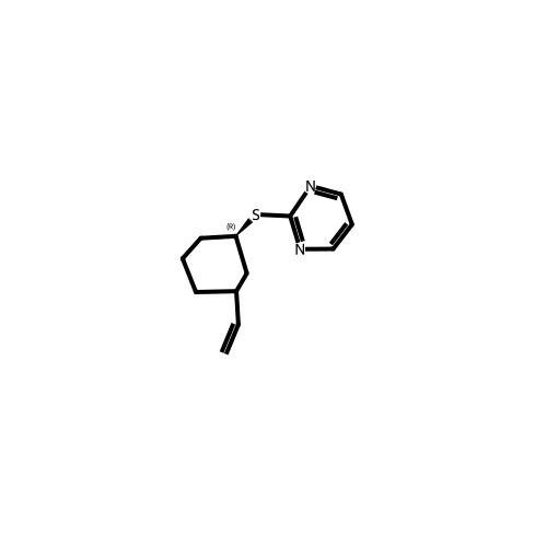 C=CC1CCC[C@@H](Sc2ncccn2)C1